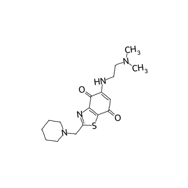 CN(C)CCNC1=CC(=O)c2sc(CN3CCCCC3)nc2C1=O